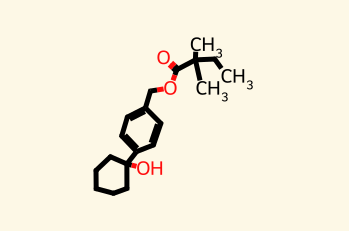 CCC(C)(C)C(=O)OCc1ccc(C2(O)CCCCC2)cc1